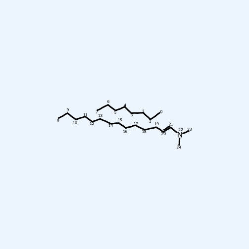 CCCCCCCC.CCCCCCCCCCCCC=CN(C)C